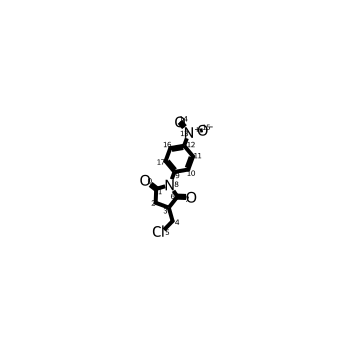 O=C1CC(CCl)C(=O)N1c1ccc([N+](=O)[O-])cc1